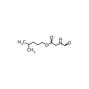 CC(C)CCCOC(=O)CN[C]=O